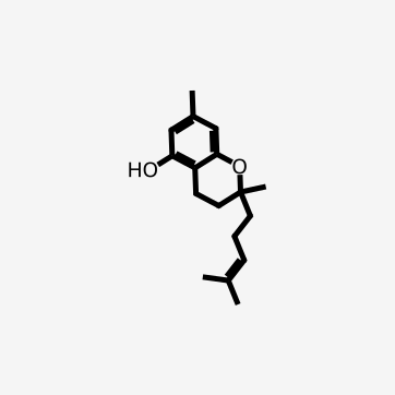 CC(C)=CCCC1(C)CCc2c(O)cc(C)cc2O1